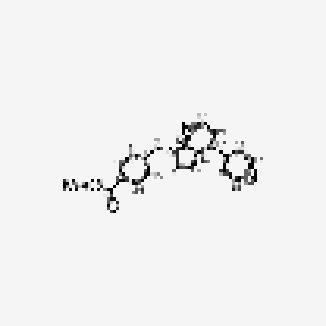 COC(=O)c1ccc(Cn2ccc3c(-c4ccncc4)ccnc32)cc1